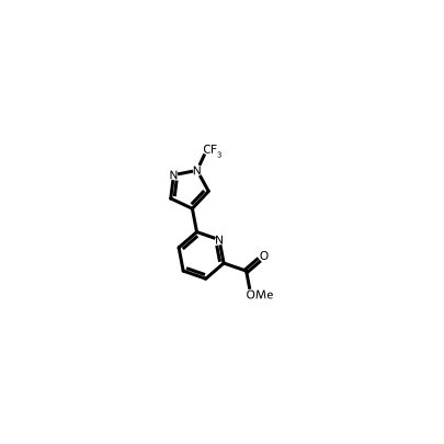 COC(=O)c1cccc(-c2cnn(C(F)(F)F)c2)n1